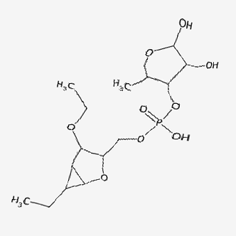 CCOC1C(COP(=O)(O)OC2C(C)OC(O)C2O)OC2C(CC)C12